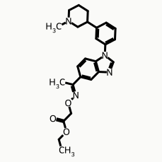 CCOC(=O)CON=C(C)c1ccc2c(c1)ncn2-c1cccc(C2CCCN(C)C2)c1